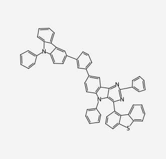 c1ccc(-c2nc(-c3cccc4sc5ccccc5c34)c3c(n2)c2cc(-c4cccc(-c5ccc6c(c5)c5ccccc5n6-c5ccccc5)c4)ccc2n3-c2ccccc2)cc1